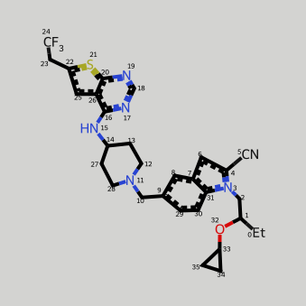 CCC(Cn1c(C#N)cc2cc(CN3CCC(Nc4ncnc5sc(CC(F)(F)F)cc45)CC3)ccc21)OC1CC1